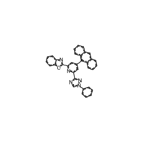 c1ccc(-n2cnc(-c3cc(-c4c5ccccc5cc5ccccc45)cc(-c4nc5ccccc5o4)n3)n2)cc1